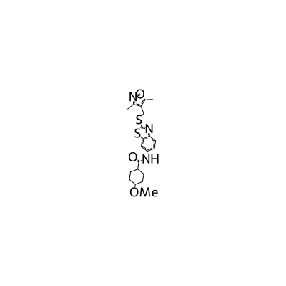 COC1CCC(C(=O)Nc2ccc3nc(SCc4c(C)noc4C)sc3c2)CC1